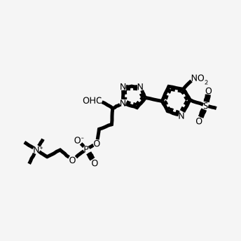 C[N+](C)(C)CCOP(=O)([O-])OCCC(C=O)n1cc(-c2cnc(S(C)(=O)=O)c([N+](=O)[O-])c2)nn1